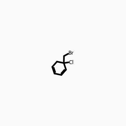 ClC1(CBr)C=CC=CC1